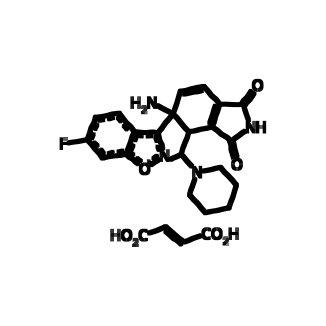 CC(C1C2=C(C=CC1(N)c1noc3cc(F)ccc13)C(=O)NC2=O)N1CCCCC1.O=C(O)C=CC(=O)O